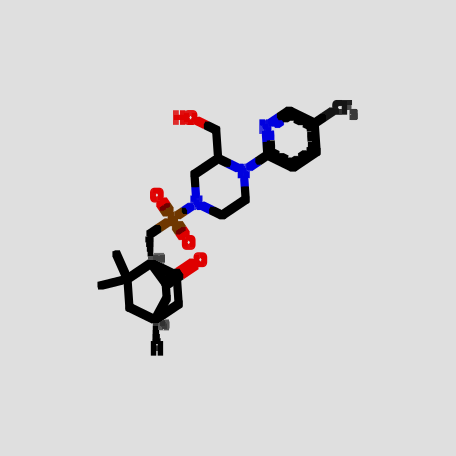 CC1(C)C[C@@H]2CC[C@@]1(CS(=O)(=O)N1CCN(c3ccc(C(F)(F)F)cn3)C(CO)C1)C(=O)C2